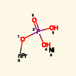 CCCOP(=O)(O)O.[Ni]